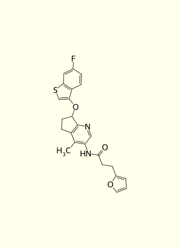 Cc1c(NC(=O)CCc2ccco2)cnc2c1CCC2Oc1csc2cc(F)ccc12